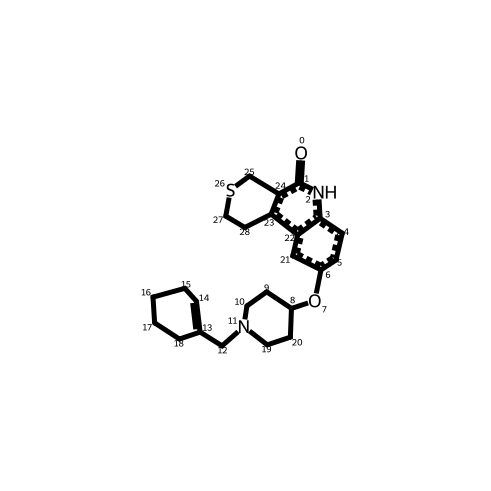 O=c1[nH]c2ccc(OC3CCN(CC4=CCCCC4)CC3)cc2c2c1CSCC2